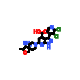 C[C@@H]1OCC2(CCN(c3cc(C(=O)O)c4c(-c5ccnc(Cl)c5Cl)n[nH]c4n3)CC2)[C@@H]1N